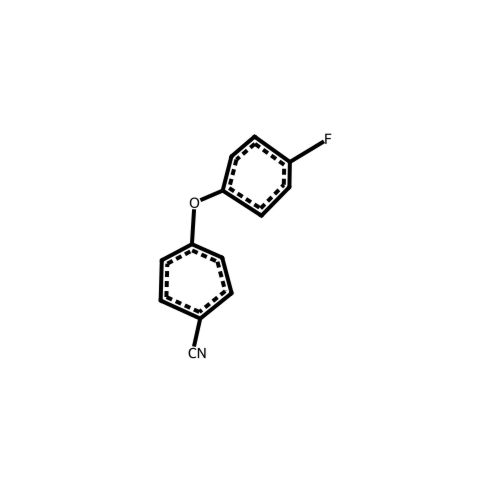 N#Cc1ccc(Oc2ccc(F)cc2)cc1